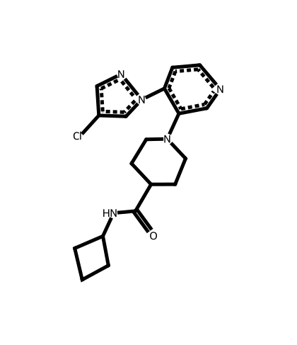 O=C(NC1CCC1)C1CCN(c2cnccc2-n2cc(Cl)cn2)CC1